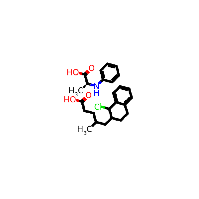 CC(CCC(=O)O)CC1CCc2ccccc2C1Cl.C[C@H](Nc1ccccc1)C(=O)O